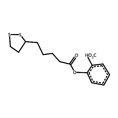 O=C(CCCCC1CCSS1)Oc1ccccc1C(=O)O